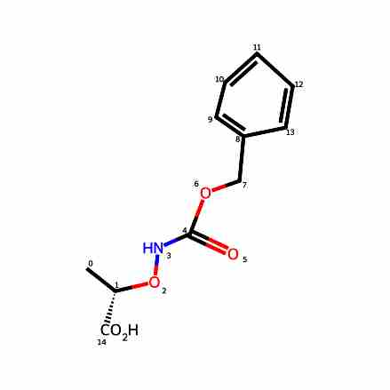 C[C@H](ONC(=O)OCc1ccccc1)C(=O)O